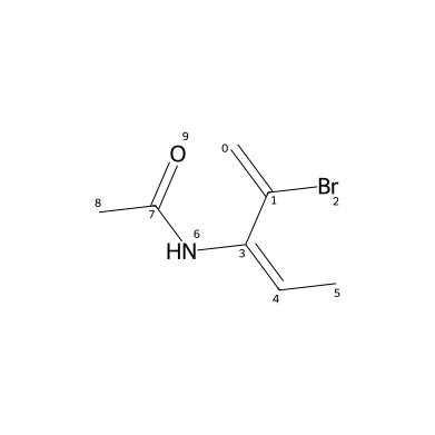 C=C(Br)/C(=C\C)NC(C)=O